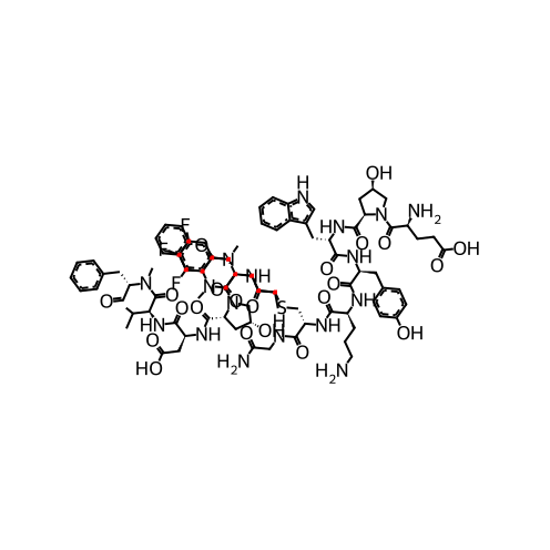 CCCC[C@@H](C(=O)N1C[C@H](O)C[C@@H]1C(=O)N[C@@H](CC(=O)O)C(=O)N[C@H](C(=O)N(C)[C@H](C=O)Cc1ccccc1)C(C)C)N(C)C(=O)[C@H](Cc1ccccc1)N(C)C(=O)[C@H](Cc1cc(F)c(F)c(F)c1)NC(=O)CSC[C@H](NC(=O)[C@H](CCCN)NC(=O)[C@H](Cc1ccc(O)cc1)NC(=O)[C@H](Cc1c[nH]c2ccccc12)NC(=O)[C@H]1C[C@@H](O)CN1C(=O)[C@@H](N)CCC(=O)O)C(=O)NCC(N)=O